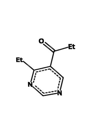 CCC(=O)c1cncnc1CC